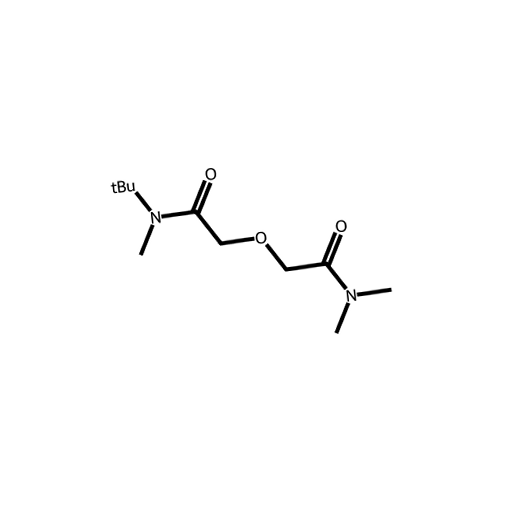 CN(C)C(=O)COCC(=O)N(C)C(C)(C)C